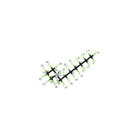 FC(F)(F)C(F)(F)C(F)(F)C(F)(F)C(F)(F)C(F)(F)C(F)(F)[Si](Cl)(C(F)(F)F)C(F)(F)C(F)(F)F